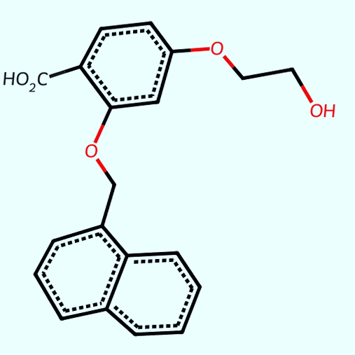 O=C(O)c1ccc(OCCO)cc1OCc1cccc2ccccc12